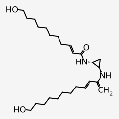 C=C(/C=C/CCCCCCCCO)N[C@@H]1C[C@H]1NC(=O)/C=C/CCCCCCCCO